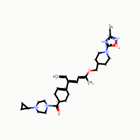 C=C/C(=C\C=C(/C)OCC1CCN(c2nc(C(C)C)no2)CC1)C1=CCC(C(=O)N2CCN(C3CC3)CC2)CC1